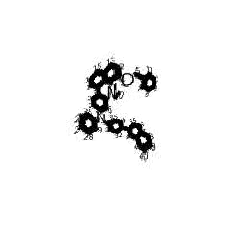 C=Nc1c(OCc2ccccc2)ccc2cccc(-c3ccc(N(c4ccccc4)c4ccc(-c5ccc6ccccc6c5)cc4)cc3)c12